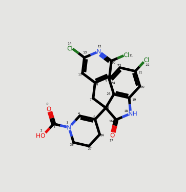 O=C(O)N1C=C(C2(Cc3cc(Cl)nc(Cl)c3)C(=O)Nc3cc(Cl)ccc32)CCC1